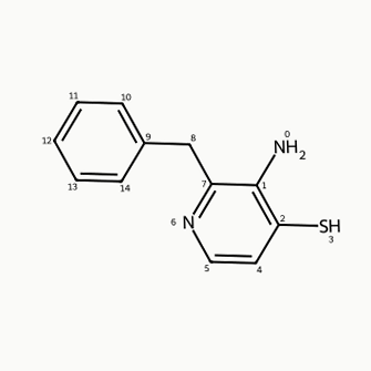 Nc1c(S)ccnc1Cc1ccccc1